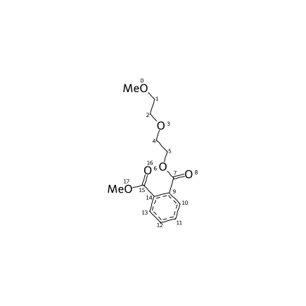 COCCOCCOC(=O)c1ccccc1C(=O)OC